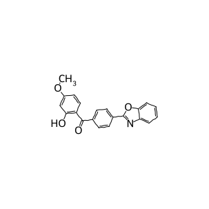 COc1ccc(C(=O)c2ccc(-c3nc4ccccc4o3)cc2)c(O)c1